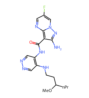 CCCC(CCNc1cnncc1NC(=O)c1c(N)nn2cc(F)cnc12)OC